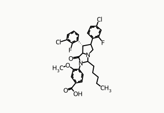 CCCCCC1N(c2ccc(C(=O)O)cc2OC)C(=O)C2[C@H](c3cccc(Cl)c3F)C(c3ccc(Cl)cc3F)CN21